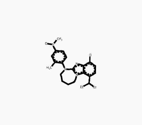 CCC(CC)c1ccc(Cl)c2nc3n(c12)CCCCN3c1ccc([S+](C)[O-])cc1C